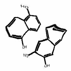 Oc1cc2ccccc2cc1O.Oc1cccc2c(O)cccc12